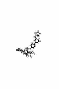 CCCCOc1cc(NCc2ccc(-c3cccc(CN4CCCC4)c3)cc2)c([N+](=O)[O-])c(C)n1